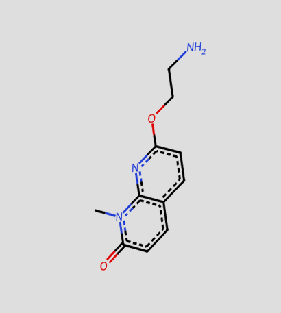 Cn1c(=O)ccc2ccc(OCCN)nc21